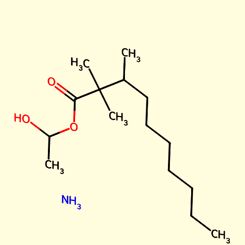 CCCCCCCC(C)C(C)(C)C(=O)OC(C)O.N